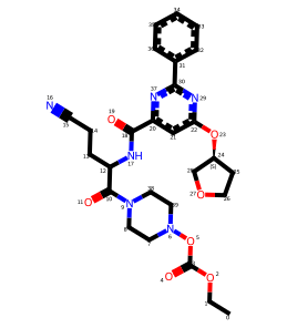 CCOC(=O)ON1CCN(C(=O)C(CCC#N)NC(=O)c2cc(O[C@H]3CCOC3)nc(-c3ccccc3)n2)CC1